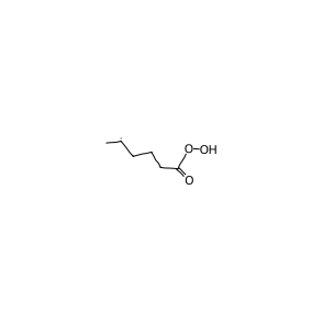 C[CH]CCCC(=O)OO